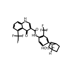 O=C(Nc1ccc(N2C3CC[C@@H]2[C@H](O)C3)cc1C(F)(F)F)c1c[nH]c2cccc(C(F)(F)F)c2c1=O